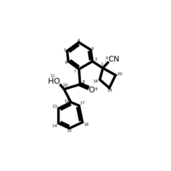 N#CC1(c2ccccc2C(=O)C(O)c2ccccc2)CCC1